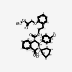 CC(C)(C)OC(=O)COc1ccccc1CCNC(=O)[C@@H]1c2ccccc2C(=O)N([C@H]2CCCC[C@@H]2O)[C@H]1c1ccc(Cl)cc1